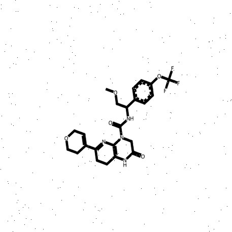 COCC(NC(=O)N1CC(=O)NC2=C1N=C(C1=CCOCC1)CC2)c1ccc(OC(F)(F)F)cc1